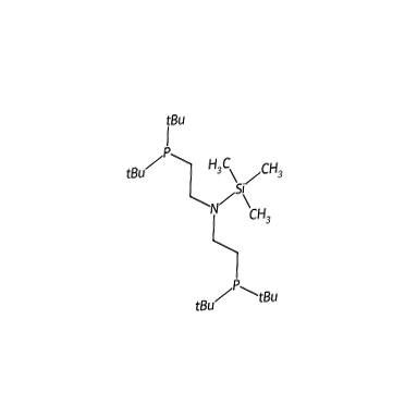 CC(C)(C)P(CCN(CCP(C(C)(C)C)C(C)(C)C)[Si](C)(C)C)C(C)(C)C